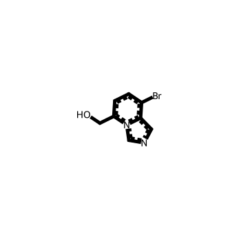 OCc1ccc(Br)c2cncn12